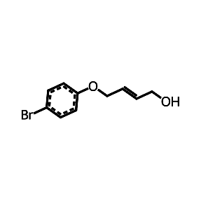 OCC=CCOc1ccc(Br)cc1